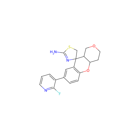 NC1=NC2(CS1)c1cc(-c3cccnc3F)ccc1OC1CCOCC12